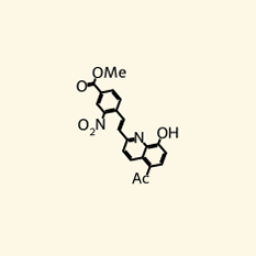 COC(=O)c1ccc(C=Cc2ccc3c(C(C)=O)ccc(O)c3n2)c([N+](=O)[O-])c1